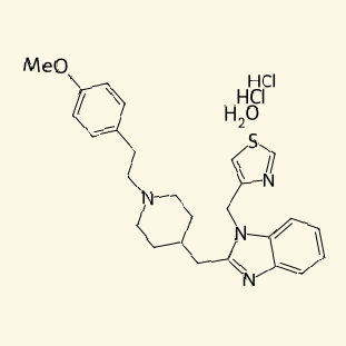 COc1ccc(CCN2CCC(Cc3nc4ccccc4n3Cc3cscn3)CC2)cc1.Cl.Cl.O